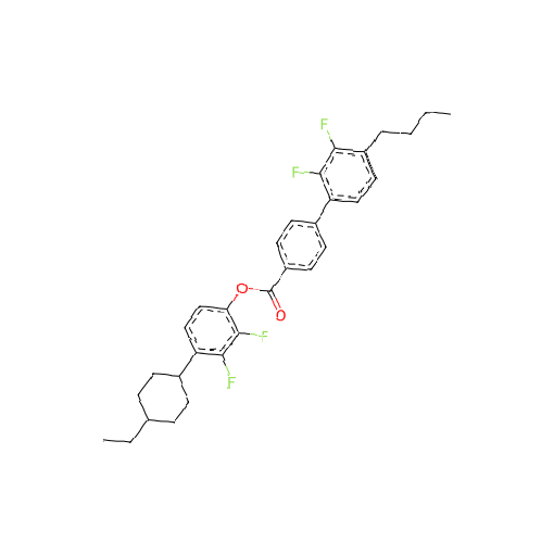 CCCCc1ccc(-c2ccc(C(=O)Oc3ccc(C4CCC(CC)CC4)c(F)c3F)cc2)c(F)c1F